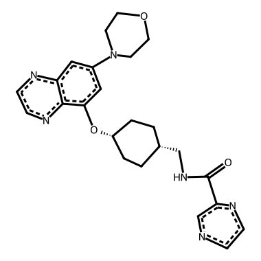 O=C(NC[C@H]1CC[C@@H](Oc2cc(N3CCOCC3)cc3nccnc23)CC1)c1cnccn1